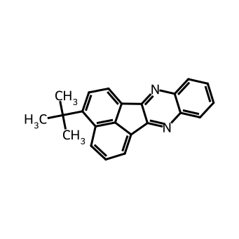 CC(C)(C)c1ccc2c3c(cccc13)-c1nc3ccccc3nc1-2